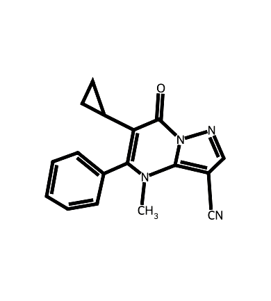 Cn1c(-c2ccccc2)c(C2CC2)c(=O)n2ncc(C#N)c12